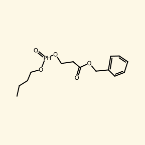 CCCCO[PH](=O)OCCC(=O)OCc1ccccc1